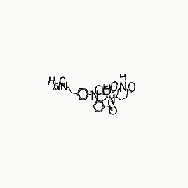 CNCCc1ccc(N(C)c2cccc3c2C(=O)N(C2CCC(=O)NC2=O)C3=O)cc1